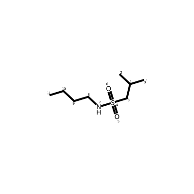 [CH2]C(C)CS(=O)(=O)NCCCC